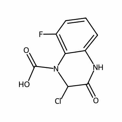 O=C1Nc2cccc(F)c2N(C(=O)O)C1Cl